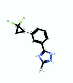 FC(F)(F)c1n[nH]c(-c2cccc([C@@H]3CC3(F)F)c2)n1